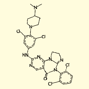 CN(C)C1CCN(c2c(Cl)cc(Nc3ncc4c(n3)N3CCN=C3N(c3c(Cl)cccc3Cl)C4=O)cc2Cl)CC1